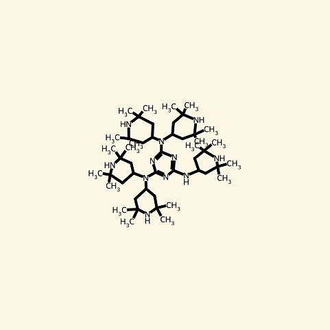 CC1(C)CC(Nc2nc(N(C3CC(C)(C)NC(C)(C)C3)C3CC(C)(C)NC(C)(C)C3)nc(N(C3CC(C)(C)NC(C)(C)C3)C3CC(C)(C)NC(C)(C)C3)n2)CC(C)(C)N1